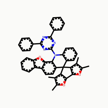 Cc1oc2c(c1C)C1(c3ccccc3N(c3nc(-c4ccccc4)nc(-c4ccccc4)n3)c3c1ccc1c3oc3ccccc31)c1c-2oc(C)c1C